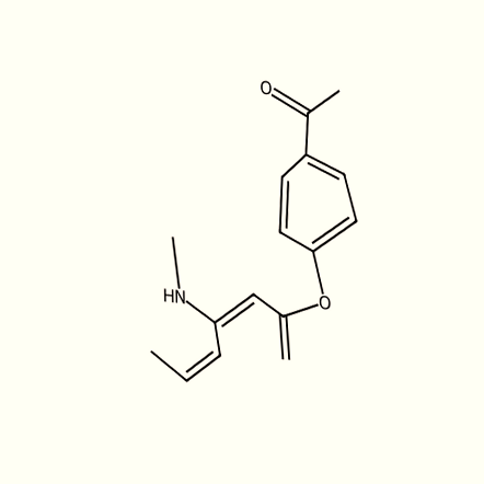 C=C(/C=C(\C=C/C)NC)Oc1ccc(C(C)=O)cc1